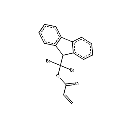 C=CC(=O)OC(Br)(Br)C1c2ccccc2-c2ccccc21